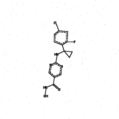 O=C(NO)c1cnc(NC2(c3ccc(Cl)cc3F)CC2)nc1